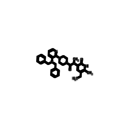 CCc1cc(N(C)C(=O)N2CCN(c3ncccc3N(Cc3ccccc3)Cc3ccccc3)CC2)c(=O)[nH]c1C